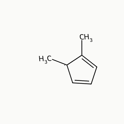 C[C]1C=CC=C1C